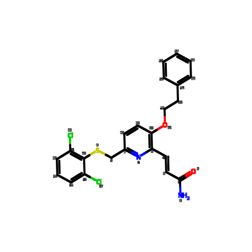 NC(=O)C=Cc1nc(CSc2c(Cl)cccc2Cl)ccc1OCCc1ccccc1